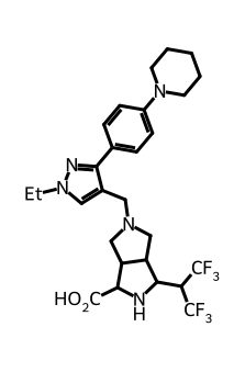 CCn1cc(CN2CC3C(C(=O)O)NC(C(C(F)(F)F)C(F)(F)F)C3C2)c(-c2ccc(N3CCCCC3)cc2)n1